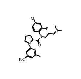 Cc1cc(C(F)(F)F)cc(N2CCC[C@H]2C(=O)N(CCCN(C)C)c2ccc(Cl)cc2F)n1